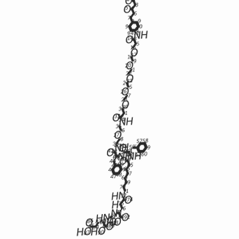 CC(=O)CC(=O)CCc1ccc(NC(=O)CCOCCOCCOCCOCCOCCC(=O)NCCOCCNC(=O)[C@H](Cc2ccccc2)NC(=O)[C@H](Cc2ccccc2)NC(=O)CCCCCCCNC(=O)CC[C@H](NC(=O)N[C@@H](CCC(=O)O)C(=O)O)C(=O)O)cc1